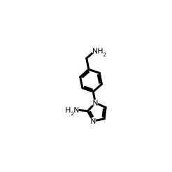 NCc1ccc(-n2ccnc2N)cc1